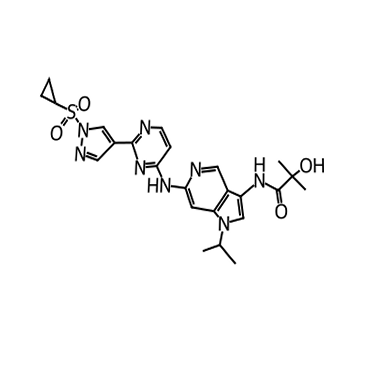 CC(C)n1cc(NC(=O)C(C)(C)O)c2cnc(Nc3ccnc(-c4cnn(S(=O)(=O)C5CC5)c4)n3)cc21